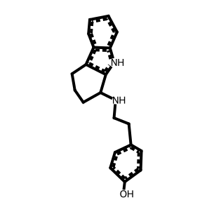 Oc1ccc(CCNC2CCCc3c2[nH]c2ccccc32)cc1